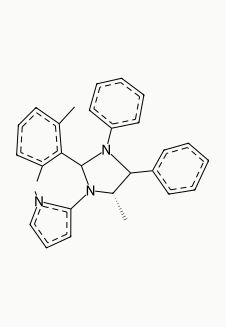 Cc1cccc(C)c1C1N(c2ccccc2)C(c2ccccc2)[C@H](C)N1c1cccn1C